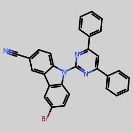 N#Cc1ccc2c(c1)c1cc(Br)ccc1n2-c1nc(-c2ccccc2)cc(-c2ccccc2)n1